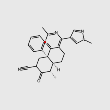 Cc1nc(-c2cnn(C)c2)c2c(n1)[C@]1(c3ccccc3)CC(C#N)C(=O)[C@@H](C)[C@@H]1CC2